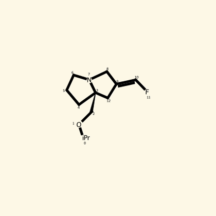 CC(C)OC[C@@]12CCCN1C/C(=C/F)C2